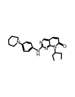 CCC(CC)n1c(=O)ccc2cnc(Nc3ccc(N4CCCCC4)cc3)nc21